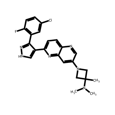 CN(C)C1(C)CN(c2cnc3ccc(-c4c[nH]nc4-c4cc(Cl)ccc4F)nc3c2)C1